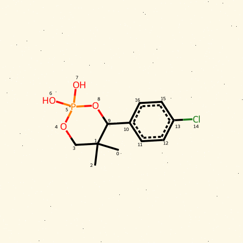 CC1(C)CO[P](O)(O)OC1c1ccc(Cl)cc1